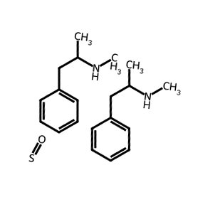 CNC(C)Cc1ccccc1.CNC(C)Cc1ccccc1.O=S